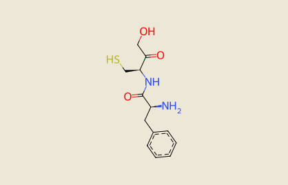 N[C@@H](Cc1ccccc1)C(=O)N[C@@H](CS)C(=O)CO